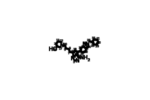 Nc1ncnn2c(CCCCN3CCCC(O)C3)cc(-c3ccc4cn(Cc5ccccc5)nc4c3)c12